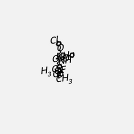 CCOP(=O)(OCC)C(F)(F)c1ccc(CC(NC(=O)OCc2ccccc2)C(=O)NCCCOc2ccc(Cl)cc2)cc1